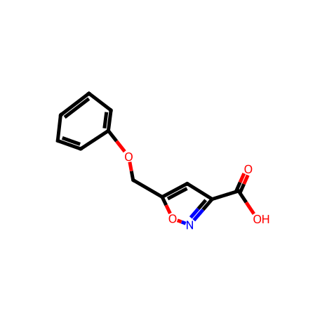 O=C(O)c1cc(COc2ccccc2)on1